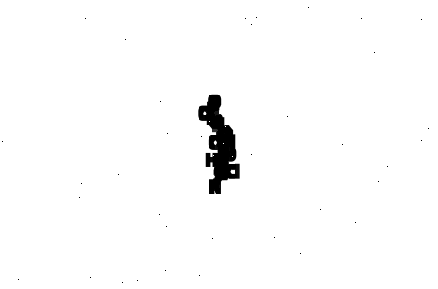 N#Cc1ccc(CNC(=O)Cn2cnc3ccc(N4CCN(C(=O)C5COC5)CC4)cc3c2=O)c(Cl)c1